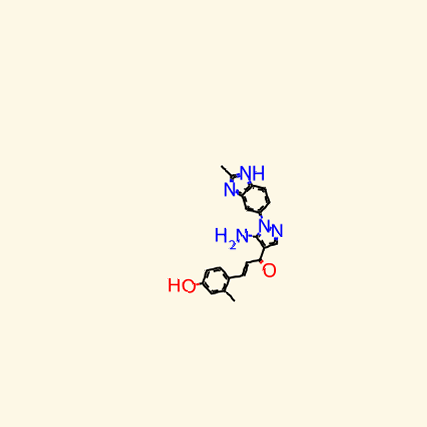 Cc1nc2cc(-n3ncc(C(=O)/C=C/c4ccc(O)cc4C)c3N)ccc2[nH]1